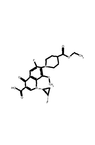 CCOC(=O)C1CCN(c2c(F)cc3c(=O)c(C(=O)O)cn([C@@H]4C[C@@H]4F)c3c2OC)CC1